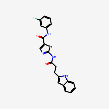 O=C(CCc1cc2ccccc2[nH]1)Nc1ncc(C(=O)Nc2cccc(F)c2)[se]1